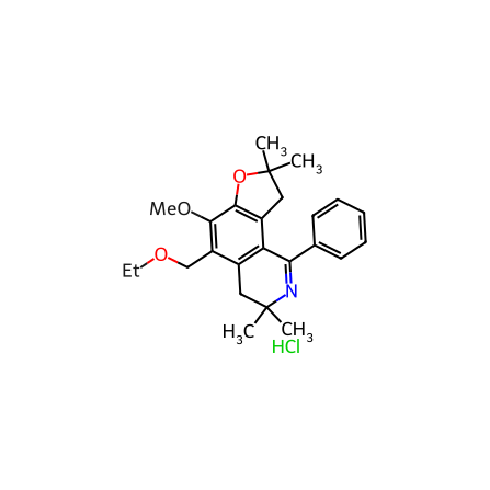 CCOCc1c2c(c3c(c1OC)OC(C)(C)C3)C(c1ccccc1)=NC(C)(C)C2.Cl